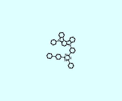 c1ccc(-c2ccc(-c3nc(-c4ccccc4)nc(-c4cccc(-n5c6ccccc6c6c7c8ccccc8n(-c8ccccc8)c7ccc65)c4)n3)cc2)cc1